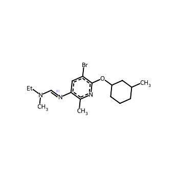 CCN(C)/C=N/c1cc(Br)c(OC2CCCC(C)C2)nc1C